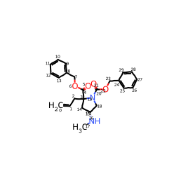 C=CCC1(C(=O)OCc2ccccc2)C[C@@H](NC)CN1C(=O)OCc1ccccc1